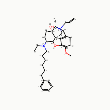 C=CCN1CC[C@]23c4c5ccc(OC)c4OC2C(N(CC)CCCCCCc2ccccc2)CC[C@@]3(O)[C@H]1C5